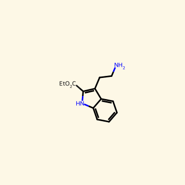 CCOC(=O)c1[nH]c2ccccc2c1CCN